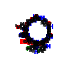 COc1ccc(C[C@@H]2NC(=O)[C@H](Cc3cnc[nH]3)NC(=O)[C@H](CC(=O)O)NC(=O)[C@H](Cc3c[nH]c4ccc(F)cc34)NC(=O)[C@H](Cc3c[nH]c4ccc(F)cc34)NC(=O)[C@@H](C)NC(=O)CCCNC(=O)c3ccc(cc3)C[C@@H](C(N)=O)NC(=O)[C@]3(C)CCCN3C2=O)cc1